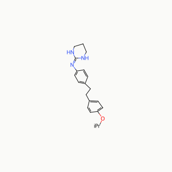 CC(C)Oc1ccc(CCc2ccc(N=C3NCCCN3)cc2)cc1